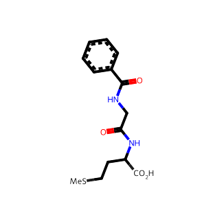 CSCCC(NC(=O)CNC(=O)c1ccccc1)C(=O)O